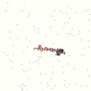 CC=CC(=O)OCCOCCCOCCC[SiH2]C(O[Si](C)(C)C)O[Si](C)(C)C